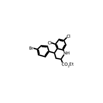 CCOC(=O)C1CC(c2ccc(Br)cc2)c2c(Cl)cc(Cl)cc2N1